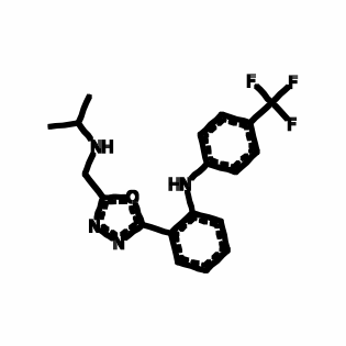 CC(C)NCc1nnc(-c2ccccc2Nc2ccc(C(F)(F)F)cc2)o1